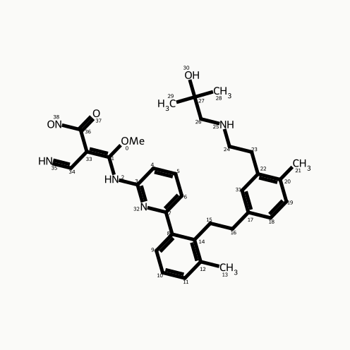 CO/C(Nc1cccc(-c2cccc(C)c2CCc2ccc(C)c(CCNCC(C)(C)O)c2)n1)=C(/C=N)C(=O)N=O